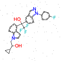 OC(Cn1ccc2c(C(O)(c3ccc4c(cnn4-c4ccc(F)cc4)c3)C(F)(F)F)cccc21)C1CC1